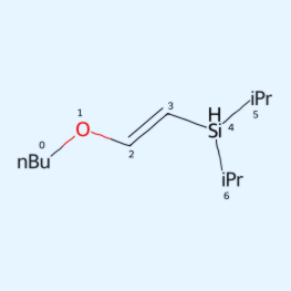 CCCCOC=C[SiH](C(C)C)C(C)C